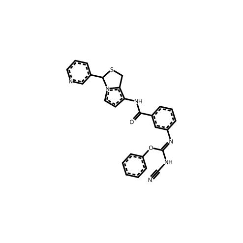 N#CNC(=Nc1cccc(C(=O)Nc2ccn3c2CSC3c2cccnc2)c1)Oc1ccccc1